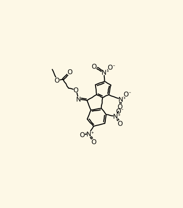 COC(=O)CON=C1c2cc([N+](=O)[O-])cc([N+](=O)[O-])c2-c2c1cc([N+](=O)[O-])cc2[N+](=O)[O-]